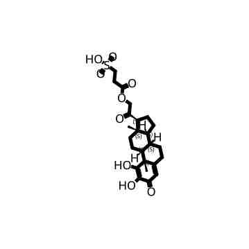 C[C@@]12C(=CC(=O)C(O)=C1O)CC[C@@H]1[C@@H]2CC[C@]2(C)[C@@H](C(=O)COC(=O)CCS(=O)(=O)O)CC[C@@H]12